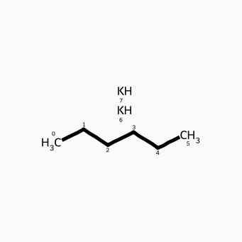 CCCCCC.[KH].[KH]